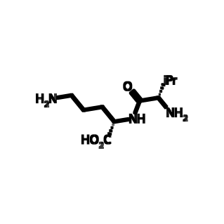 CC(C)[C@H](N)C(=O)N[C@@H](CCCN)C(=O)O